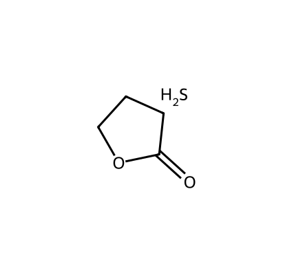 O=C1CCCO1.S